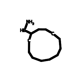 NBC1CCCCCCCCCCC1